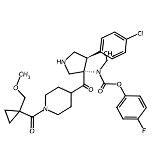 CCN(C(=O)Oc1ccc(F)cc1)[C@]1(C(=O)C2CCN(C(=O)C3(COC)CC3)CC2)CNC[C@H]1c1ccc(Cl)cc1